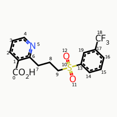 O=C(O)c1cccnc1CCCS(=O)(=O)c1cccc(C(F)(F)F)c1